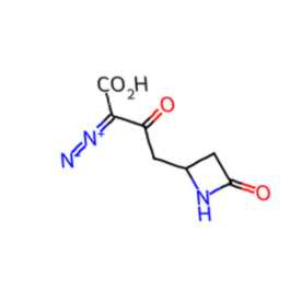 [N-]=[N+]=C(C(=O)O)C(=O)CC1CC(=O)N1